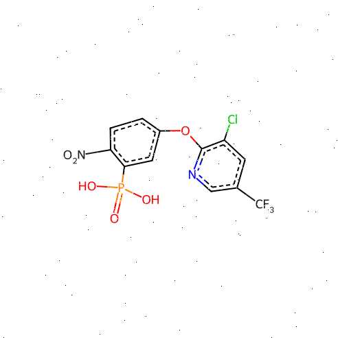 O=[N+]([O-])c1ccc(Oc2ncc(C(F)(F)F)cc2Cl)cc1P(=O)(O)O